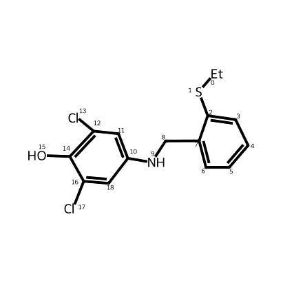 CCSc1ccccc1CNc1cc(Cl)c(O)c(Cl)c1